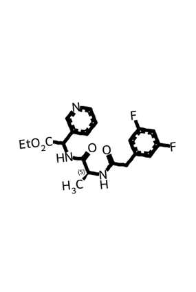 CCOC(=O)C(NC(=O)[C@H](C)NC(=O)Cc1cc(F)cc(F)c1)c1cccnc1